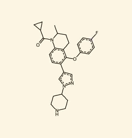 CC1CCc2c(ccc(-c3cnn(C4CCNCC4)c3)c2Oc2ccc(F)cc2)N1C(=O)C1CC1